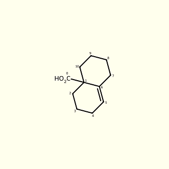 O=C(O)C12CCCC=C1CCCC2